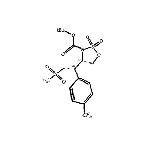 CC(C)(C)OC(=O)N1[C@@H]([C@@H](CS(C)(=O)=O)c2ccc(C(F)(F)F)cc2)COS1(=O)=O